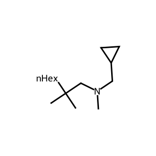 CCCCCCC(C)(C)CN(C)CC1CC1